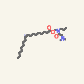 CCCCCCCC/C=C\CCCCCCCC(=O)OCN(CCC)C(=O)CN(C)C